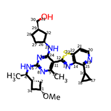 CO[C@H]1C[C@@H]([C@@H](C)Nc2nc(C)c(-c3nc4c(C5CC5)nccc4s3)c(N[C@H]3CC[C@@H](CO)C3)n2)C1